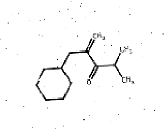 C=C(CC1CCCCC1)C(=O)C(C)C